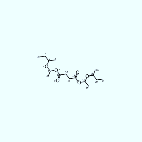 CCC(C)OC(C)OC(=O)CCC(=O)OC(C)OC(C)CC